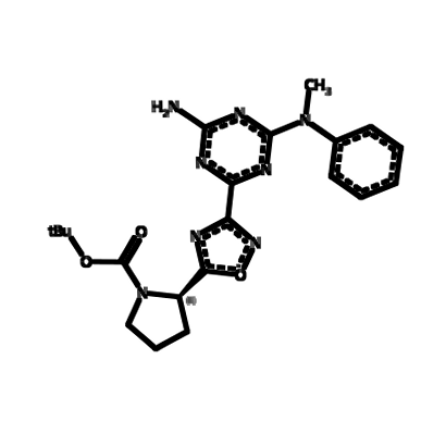 CN(c1ccccc1)c1nc(N)nc(-c2noc([C@H]3CCCN3C(=O)OC(C)(C)C)n2)n1